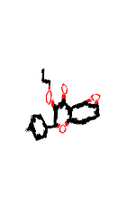 CCCOc1c(-c2ccccc2)oc2ccc3c(c2c1=O)O3